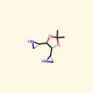 CC1(C)O[C@H]([C@@H]2CN2)[C@@H]([C@@H]2CN2)O1